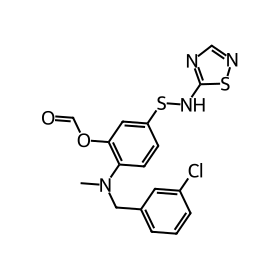 CN(Cc1cccc(Cl)c1)c1ccc(SNc2ncns2)cc1OC=O